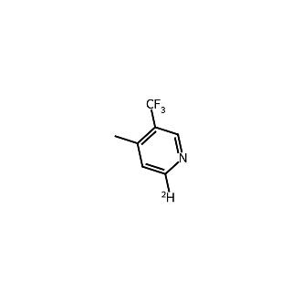 [2H]c1cc(C)c(C(F)(F)F)cn1